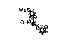 COc1ccc2oc(N3CC4(COc5cc(C)n(C)c(=O)c5)CC3(C=O)C4)nc2c1